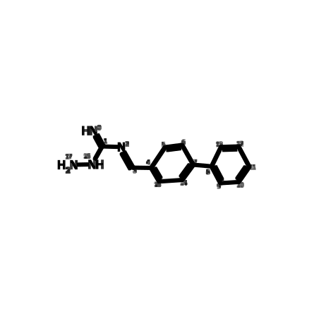 N=C(N=Cc1ccc(-c2ccccc2)cc1)NN